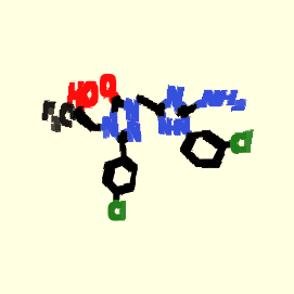 Nc1nc(Cn2nc(-c3ccc(Cl)cc3)n(CC(O)C(F)(F)F)c2=O)nn1-c1cccc(Cl)c1